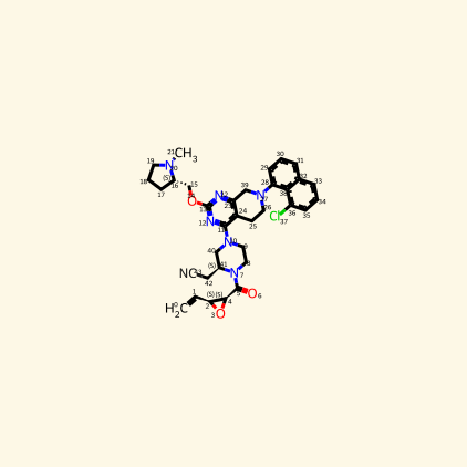 C=C[C@@H]1O[C@@H]1C(=O)N1CCN(c2nc(OC[C@@H]3CCCN3C)nc3c2CCN(c2cccc4cccc(Cl)c24)C3)C[C@@H]1CC#N